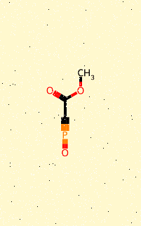 COC(=O)C#P=O